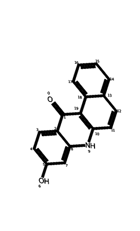 O=c1c2ccc(O)cc2[nH]c2ccc3ccccc3c12